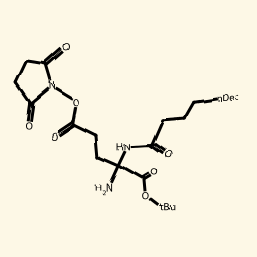 CCCCCCCCCCCCCC(=O)NC(N)(CCC(=O)ON1C(=O)CCC1=O)C(=O)OC(C)(C)C